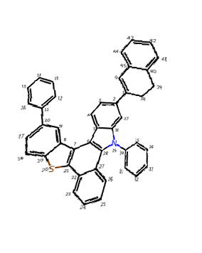 C1=C(c2ccc3c4c5c6cc(-c7ccccc7)ccc6sc5c5ccccc5c4n(-c4ccccc4)c3c2)CCc2ccccc21